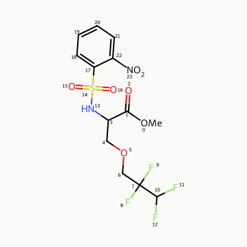 COC(=O)C(COCC(F)(F)C(F)F)NS(=O)(=O)c1ccccc1[N+](=O)[O-]